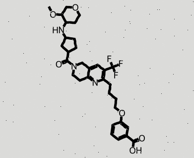 COC1COCCC1NC1CCC(C(=O)N2CCc3nc(CCCCOc4cccc(C(=O)O)c4)c(C(F)(F)F)cc3C2)C1